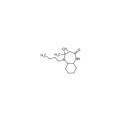 CCCCN1C2CCCCC2NC(=O)CC1(C)C